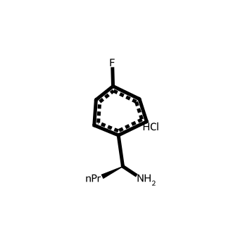 CCC[C@H](N)c1ccc(F)cc1.Cl